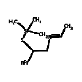 CC=NCC(CCC)S[Si](C)(C)C